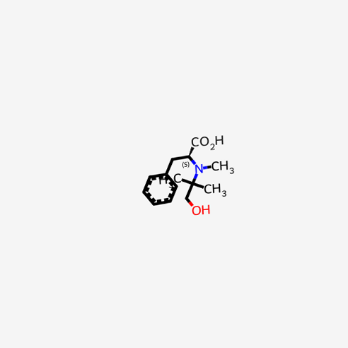 CN([C@@H](Cc1ccccc1)C(=O)O)C(C)(C)CO